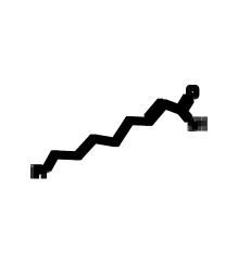 CC(C)CCCCCC=CC(=O)S